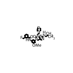 C=C(C)CNc1ncc2c(n1)N(CCN1CCOCC1)C(=O)N(c1cc(NC(=O)c3cccc(CF)c3)cc(OC)c1)C2